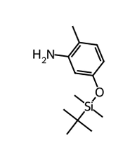 Cc1ccc(O[Si](C)(C)C(C)(C)C)cc1N